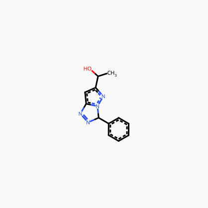 CC(O)c1cc2n(n1)C(c1ccccc1)N=N2